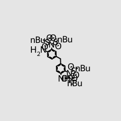 CCCCS(=O)(=O)N(c1cc(Cc2ccc(N)c(N(S(=O)(=O)CCCC)S(=O)(=O)CCCC)c2)ccc1N)S(=O)(=O)CCCC